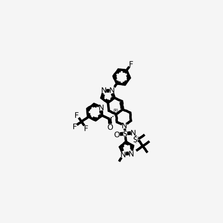 Cn1cc(S(=O)(=N[Si](C)(C)C(C)(C)C)N2CCC3=Cc4c(cnn4-c4ccc(F)cc4)C[C@]3(C(=O)c3cc(C(F)(F)F)ccn3)C2)cn1